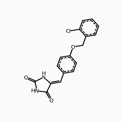 O=C1NC(=O)C(=Cc2ccc(OCc3ccccc3Cl)cc2)N1